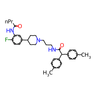 CCCC(=O)Nc1cc(C2CCN(CCCNC(=O)C(c3ccc(C)cc3)c3ccc(C)cc3)CC2)ccc1F